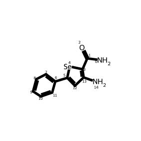 NC(=O)c1[se]c(-c2ccccc2)cc1N